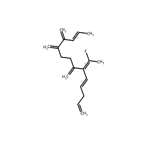 C=CC/C=C/C(C(=C)CCC(=C)C(=C)/C=C/C)=C(\C)F